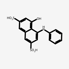 O=S(=O)(O)c1cc(O)c2c(Nc3ccccc3)cc(S(=O)(=O)O)cc2c1